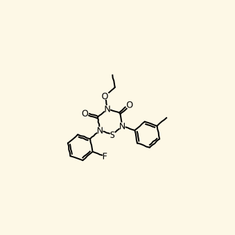 CCON1C(=O)N(c2cccc(C)c2)SN(c2ccccc2F)C1=O